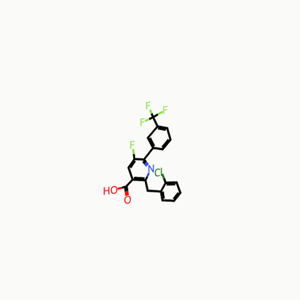 O=C(O)c1cc(F)c(-c2cccc(C(F)(F)F)c2)nc1Cc1ccccc1Cl